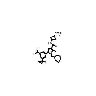 Cc1c(C(=O)N[C@H]2C[C@H](C(=O)O)C2)cc(-c2cc(C(F)F)cc(C3(C)CC3)c2)n1CC1CCCCC1